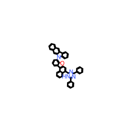 c1ccc(C2=NC(c3cc4oc5c(-n6c7ccccc7c7cc8ccccc8cc76)cccc5c4c4ccccc34)NC(c3ccccc3)=N2)cc1